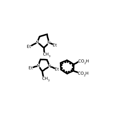 CCN1CCN(CC)C1C.CCN1CCN(CC)C1C.O=C(O)c1ccccc1C(=O)O